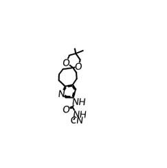 CC1(C)COC2(CCCc3ncc(NC(=O)NC#N)cc3CC2)OC1